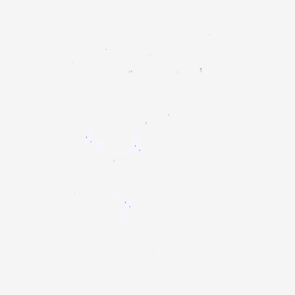 Cc1cccc(-c2nc(-c3cccc(C)c3C)c3ccccc3n2)n1